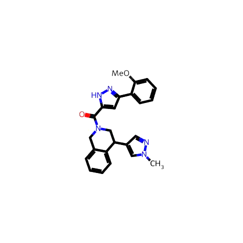 COc1ccccc1-c1cc(C(=O)N2Cc3ccccc3C(c3cnn(C)c3)C2)[nH]n1